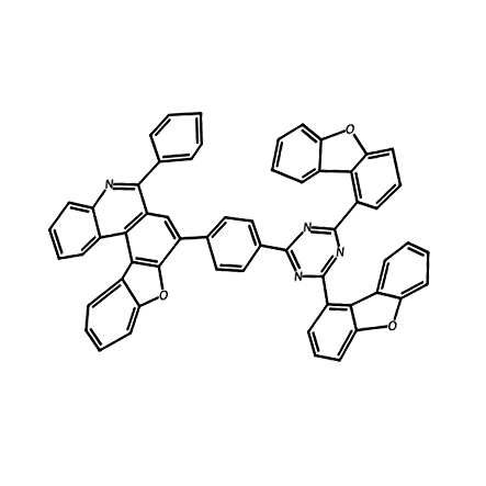 c1ccc(-c2nc3ccccc3c3c2cc(-c2ccc(-c4nc(-c5cccc6oc7ccccc7c56)nc(-c5cccc6oc7ccccc7c56)n4)cc2)c2oc4ccccc4c23)cc1